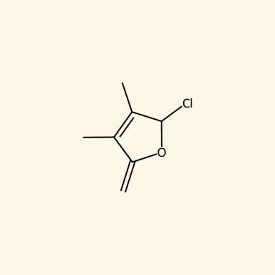 C=C1OC(Cl)C(C)=C1C